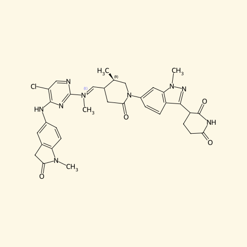 C[C@H]1CN(c2ccc3c(C4CCC(=O)NC4=O)nn(C)c3c2)C(=O)CC1/C=[N+](\C)c1ncc(Cl)c(Nc2ccc3c(c2)CC(=O)N3C)n1